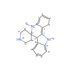 CN1C2=C3CC=CC=C3N(C)C3(CCNCC3)C2c2ccccc21